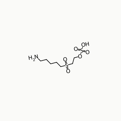 NCCCCCS(=O)(=O)CCOS(=O)(=O)O